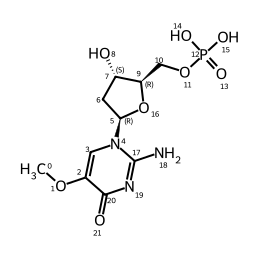 COc1cn([C@H]2C[C@H](O)[C@@H](COP(=O)(O)O)O2)c(N)nc1=O